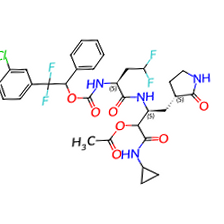 CC(=O)OC(C(=O)NC1CC1)[C@H](C[C@@H]1CCNC1=O)NC(=O)[C@H](CC(F)F)NC(=O)OC(c1ccccc1)C(F)(F)c1cccc(Cl)c1